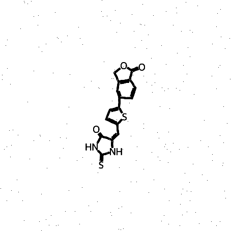 O=C1NC(=S)N/C1=C/c1ccc(-c2ccc3c(c2)COC3=O)s1